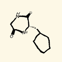 O=C1CNC(=O)[C@H](CC2CCCCC2)N1